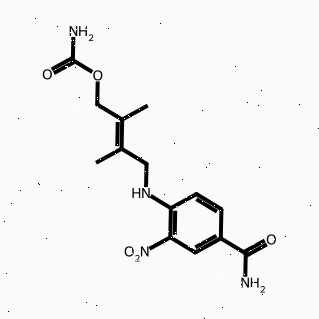 C/C(CNc1ccc(C(N)=O)cc1[N+](=O)[O-])=C(/C)COC(N)=O